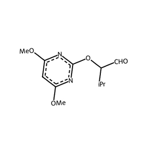 COc1cc(OC)nc(OC(C=O)C(C)C)n1